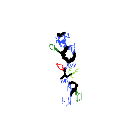 Nc1nc(-n2ncc(C(=O)Nc3cnc(-n4nccn4)c(Cl)c3)c2C(F)(F)F)ccc1Cl